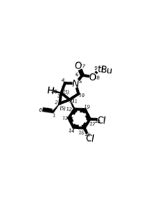 C=C[C@H]1[C@@H]2CN(C(=O)OC(C)(C)C)C[C@]12c1ccc(Cl)c(Cl)c1